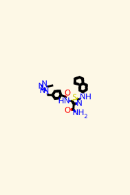 Cc1nnnn1Cc1ccc(C(=O)Nc2sc(Nc3ccc4ccccc4c3)nc2C(N)=O)cc1